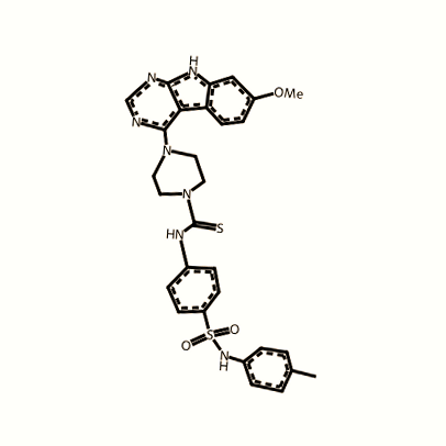 COc1ccc2c(c1)[nH]c1ncnc(N3CCN(C(=S)Nc4ccc(S(=O)(=O)Nc5ccc(C)cc5)cc4)CC3)c12